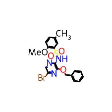 COc1ccc(C)cc1S(=O)(=O)Nc1ncc(Br)nc1OCc1ccccc1